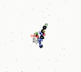 CN(CCN1CCCC1)c1nc2ccc(-n3cnc4cc(-c5ccc(Cl)cc5)sc4c3=O)cc2n1C.O=C(O)C(F)(F)F